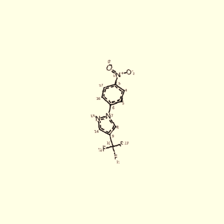 O=[N+]([O-])c1ccc(-n2cc(C(F)(F)F)cn2)cc1